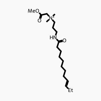 CC/C=C/CCCCCCCC(=O)NCCC[N+](C)(C)CC(=O)OC